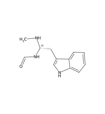 CN[C@H](Cc1c[nH]c2ccccc12)NC=O